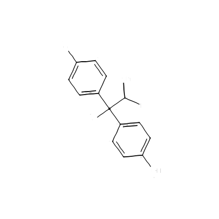 CCCC(CC)C(C)(c1ccc(O)cc1)c1ccc(O)cc1